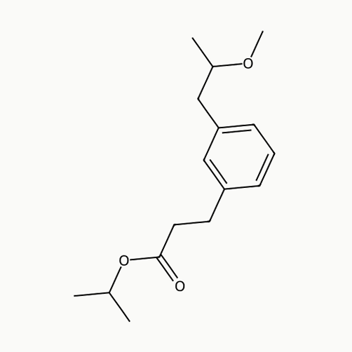 COC(C)Cc1cccc(CCC(=O)OC(C)C)c1